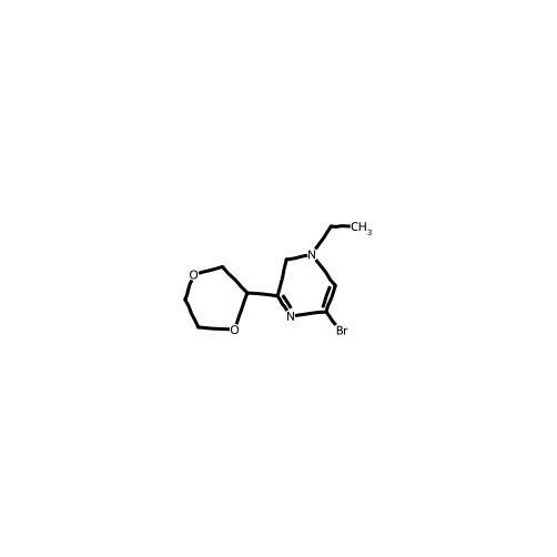 CCN1C=C(Br)N=C(C2COCCO2)C1